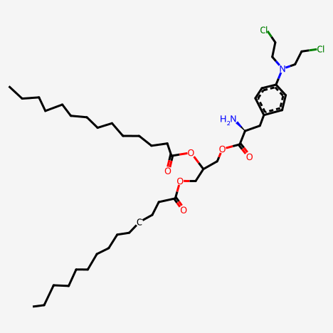 CCCCCCCCCCCCCC(=O)OCC(COC(=O)[C@@H](N)Cc1ccc(N(CCCl)CCCl)cc1)OC(=O)CCCCCCCCCCCCC